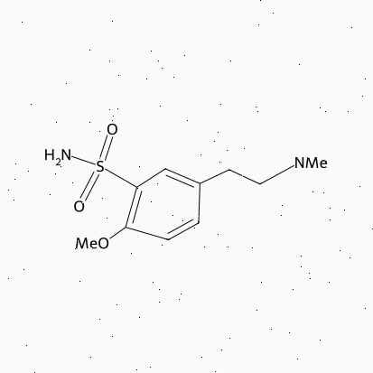 CNCCc1ccc(OC)c(S(N)(=O)=O)c1